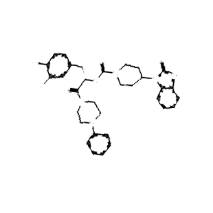 O=C(N[C@H](Cc1ccc(O)c(Br)c1)C(=O)N1CCN(c2ccccc2)CC1)N1CCC(n2c(=O)[nH]c3ccccc32)CC1